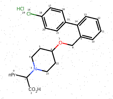 CCCC(C(=O)O)N1CCC(OCc2ccccc2-c2ccc(Cl)cc2)CC1.Cl